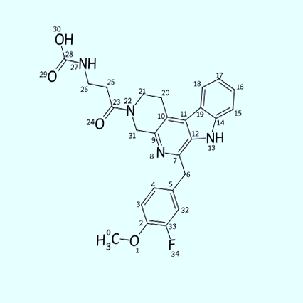 COc1ccc(Cc2nc3c(c4c2[nH]c2ccccc24)CCN(C(=O)CCNC(=O)O)C3)cc1F